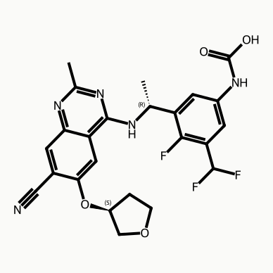 Cc1nc(N[C@H](C)c2cc(NC(=O)O)cc(C(F)F)c2F)c2cc(O[C@H]3CCOC3)c(C#N)cc2n1